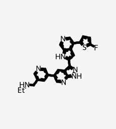 CCNCc1cncc(-c2cnc3[nH]nc(-c4cc5c(-c6ccc(F)s6)cncc5[nH]4)c3c2)c1